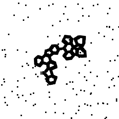 c1ccc(C2(c3ccccc3)c3ccccc3N(c3ccc4sc5c6ccccc6c6c(ccc7c8ccccc8[nH]c76)c5c4c3)c3ccccc32)cc1